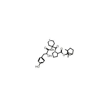 CC1(C)C2CCC1(C)C(OC(=O)C1CCCN1C(=O)C1(NC(=O)C(O)Cc3ccc(O)cc3)CCSCC1)C2